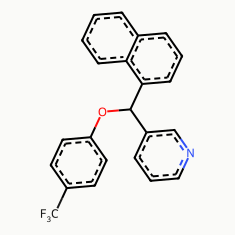 FC(F)(F)c1ccc(OC(c2cccnc2)c2cccc3ccccc23)cc1